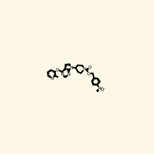 C=[N+]([O-])c1ccc(COC(=O)N2CCC(n3ccc4c(Oc5cccnc5C)ncnc43)CC2)cc1